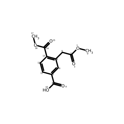 COC(=O)Cc1cc(C(=O)O)ccc1C(=O)OC